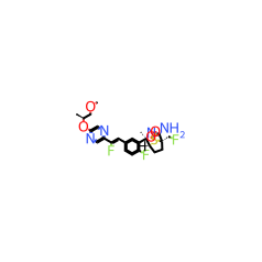 COC[C@H](C)Oc1cnc(/C(F)=C/c2ccc(F)c([C@@]3(C)N=C(N)[C@@]4(CF)CC[C@@H]3S4(=O)=O)c2)cn1